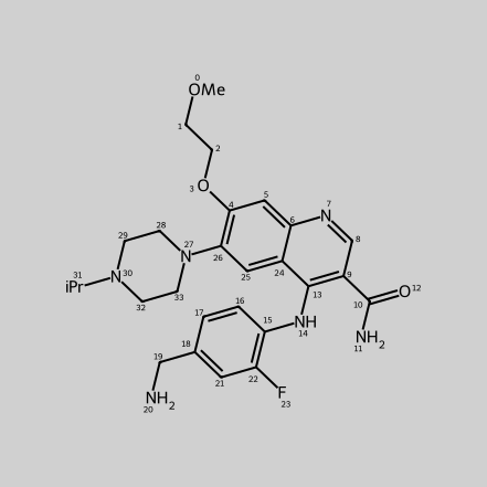 COCCOc1cc2ncc(C(N)=O)c(Nc3ccc(CN)cc3F)c2cc1N1CCN(C(C)C)CC1